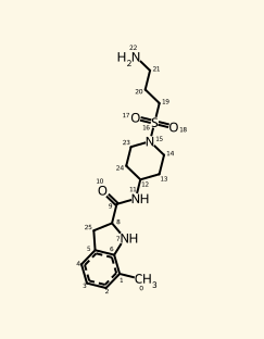 Cc1cccc2c1NC(C(=O)NC1CCN(S(=O)(=O)CCCN)CC1)C2